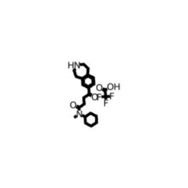 CN(C(=O)CCC(=O)c1ccc2c(c1)CCNCC2)C1CCCCC1.O=C(O)C(F)(F)F